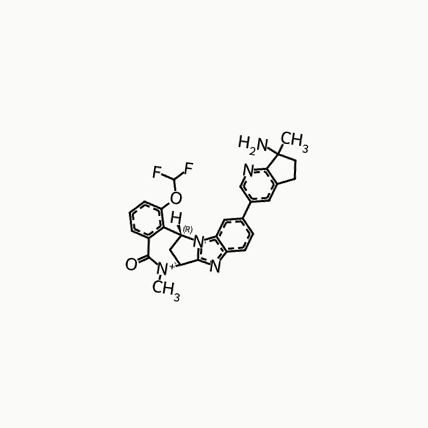 C[N+]1=C2C[C@H](c3c(OC(F)F)cccc3C1=O)n1c2nc2ccc(-c3cnc4c(c3)CCC4(C)N)cc21